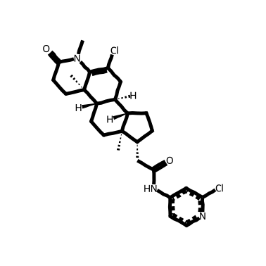 CN1C(=O)CC[C@@]2(C)C1=C(Cl)C[C@H]1[C@@H]3CC[C@H](CC(=O)Nc4ccnc(Cl)c4)[C@@]3(C)CC[C@@H]12